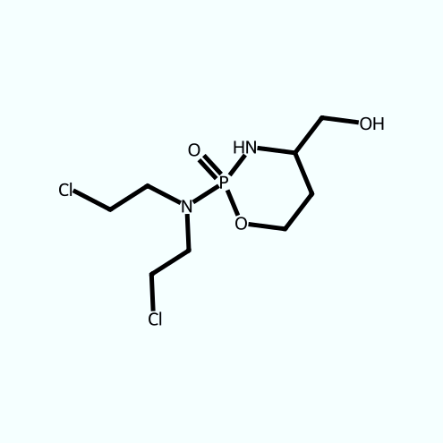 O=P1(N(CCCl)CCCl)NC(CO)CCO1